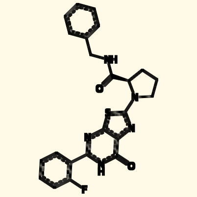 O=C(NCc1ccccc1)[C@H]1CCCN1c1nc2c(=O)[nH]c(-c3ccccc3F)nc2s1